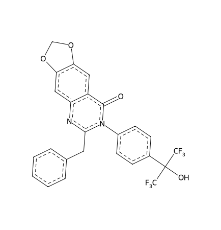 O=c1c2cc3c(cc2nc(Cc2ccccc2)n1-c1ccc(C(O)(C(F)(F)F)C(F)(F)F)cc1)OCO3